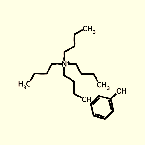 CCCC[N+](CCCC)(CCCC)CCCC.Oc1ccccc1